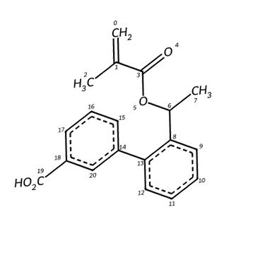 C=C(C)C(=O)OC(C)c1ccccc1-c1cccc(C(=O)O)c1